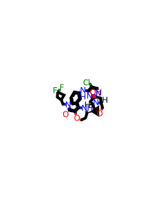 O=c1c2c(c3cc(Nc4nc(N5[C@@H]6COC[C@H]5CC(O)C6)ncc4Cl)ccc3n1CC1CC(F)(F)C1)N[C@@H](C1CC1)CCO2